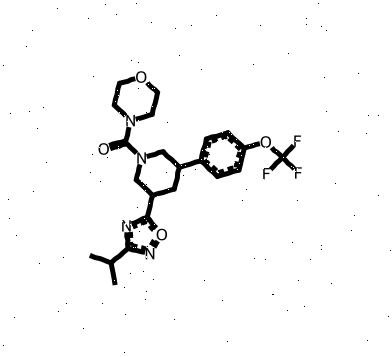 CC(C)c1noc(C2CC(c3ccc(OC(F)(F)F)cc3)CN(C(=O)N3CCOCC3)C2)n1